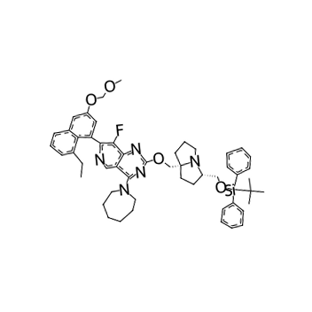 CCc1cccc2cc(OCOC)cc(-c3ncc4c(N5CCCCCC5)nc(OC[C@]56CCCN5[C@H](CO[Si](c5ccccc5)(c5ccccc5)C(C)(C)C)CC6)nc4c3F)c12